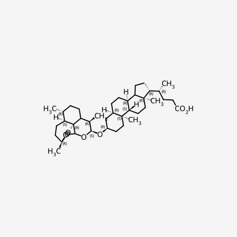 C[C@H](CCC(=O)O)[C@H]1CCC2[C@@H]3CC[C@@H]4C[C@H](O[C@H]5OC6O[C@@]7(C)CC[C@H]8[C@H](C)CCC([C@H]5C)[C@@]68OO7)CC[C@]4(C)[C@H]3CC[C@@]21C